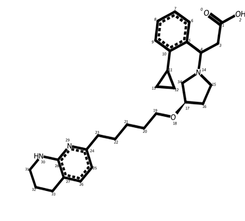 O=C(O)CC(c1ccccc1C1CC1)N1CC[C@@H](OCCCCCc2ccc3c(n2)NCCC3)C1